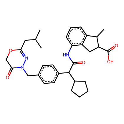 CC(C)CC1=NN(Cc2ccc(C(C(=O)Nc3cccc4c3CC(C(=O)O)C4C)C3CCCC3)cc2)C(=O)CO1